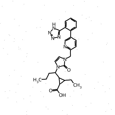 CCCC(C1C(CC)C1C(=O)O)n1ccn(Cc2ccc(-c3ccccc3-c3nnn[nH]3)cn2)c1=O